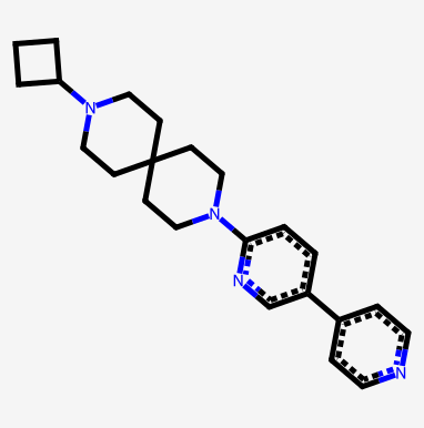 c1cc(-c2ccc(N3CCC4(CC3)CCN(C3CCC3)CC4)nc2)ccn1